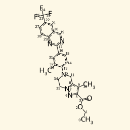 CCOC(=O)c1nn2c(c1C)CN(c1ccc(-c3ncc4cc(C(F)(F)F)ccc4n3)cc1C)CC2